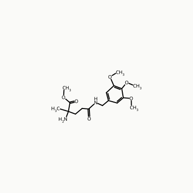 COC(=O)C(C)(N)CCC(=O)NCc1cc(OC)c(OC)c(OC)c1